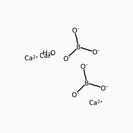 O.[Ca+2].[Ca+2].[Ca+2].[O-]B([O-])[O-].[O-]B([O-])[O-]